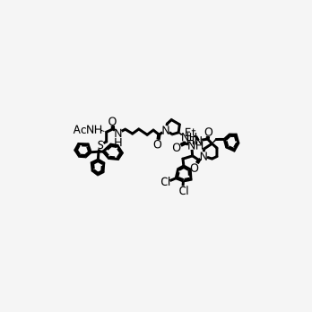 CCNC(=O)[C@]1(Cc2ccccc2)CCCN(C(=O)C(Cc2ccc(Cl)c(Cl)c2)NC(=O)N[C@@H]2CCCN(C(=O)CCCCCNC(=O)[C@H](CSC(c3ccccc3)(c3ccccc3)c3ccccc3)NC(C)=O)C2)C1